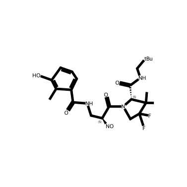 Cc1c(O)cccc1C(=O)NC[C@H](N=O)C(=O)N1CC(F)(F)C(C)(C)[C@H]1C(=O)NCC(C)(C)C